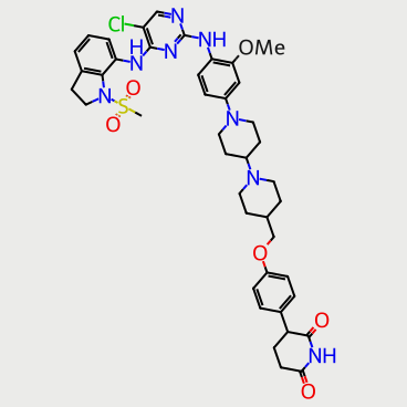 COc1cc(N2CCC(N3CCC(COc4ccc(C5CCC(=O)NC5=O)cc4)CC3)CC2)ccc1Nc1ncc(Cl)c(Nc2cccc3c2N(S(C)(=O)=O)CC3)n1